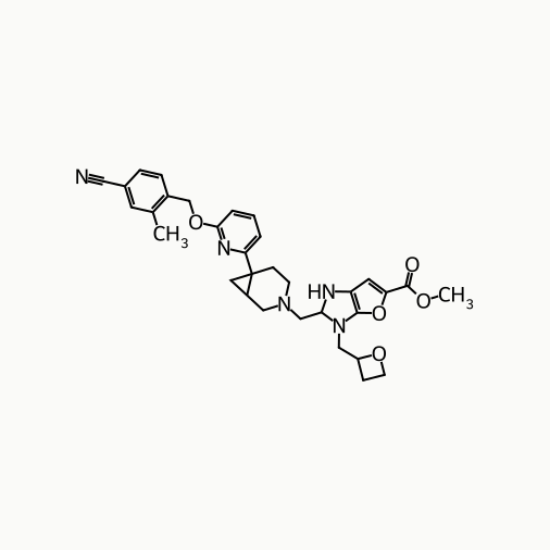 COC(=O)c1cc2c(o1)N(CC1CCO1)C(CN1CCC3(c4cccc(OCc5ccc(C#N)cc5C)n4)CC3C1)N2